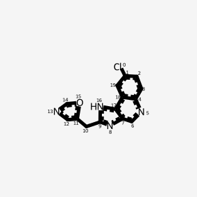 Clc1ccc2ncc3nc(Cc4cnco4)[nH]c3c2c1